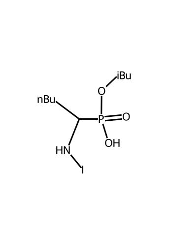 CCCCC(NI)P(=O)(O)OC(C)CC